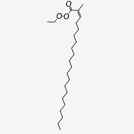 CCCCCCCCCCCCCCCCCCC=C(C)C(=O)OOCC